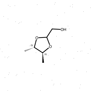 C[C@@H]1OC(CO)O[C@H]1C